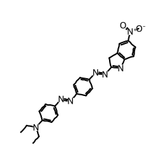 CCN(CC)c1ccc(N=Nc2ccc(N=NC3=Nc4ccc([N+](=O)[O-])cc4C3)cc2)cc1